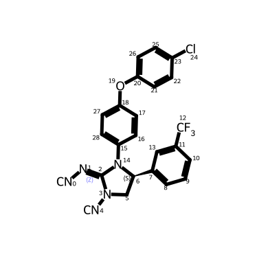 [C-]#[N+]/N=C1\N([N+]#[C-])C[C@H](c2cccc(C(F)(F)F)c2)N1c1ccc(Oc2ccc(Cl)cc2)cc1